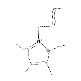 CC=CC[n+]1c(C)c(C)c(C)n1C